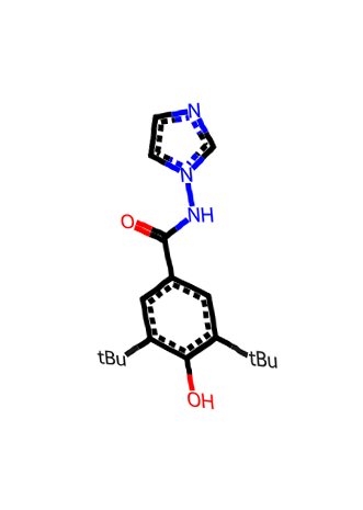 CC(C)(C)c1cc(C(=O)Nn2ccnc2)cc(C(C)(C)C)c1O